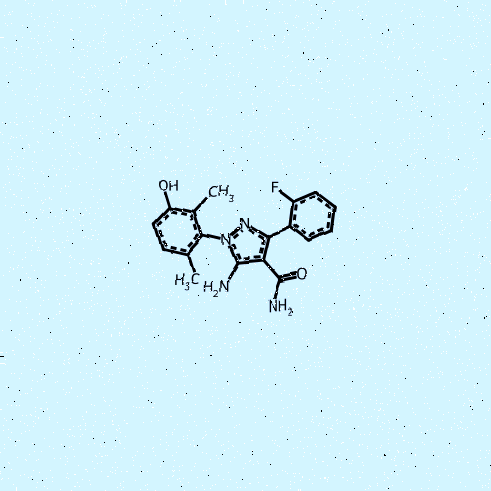 Cc1ccc(O)c(C)c1-n1nc(-c2ccccc2F)c(C(N)=O)c1N